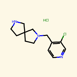 Cl.Clc1cnccc1CN1CCC2(CCNC2)C1